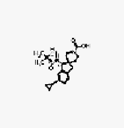 CC(C)(C)[S@@+]([O-])N[C@@H]1c2cc(C3CC3)ccc2CC12CCN(C(=O)O)CC2